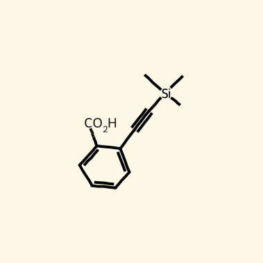 C[Si](C)(C)C#Cc1ccccc1C(=O)O